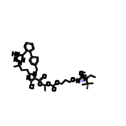 CCCCc1nc(Cl)c(C(=O)OC(C)OC(=O)OCCCO/N=[N+](\[O-])N(CC)C(C)(C)C)n1Cc1ccc(-c2ccccc2-c2nnn[nH]2)cc1